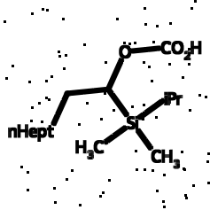 CCCCCCCCC(OC(=O)O)[Si](C)(C)C(C)C